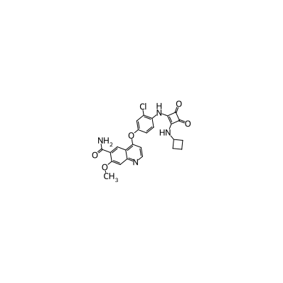 COc1cc2nccc(Oc3ccc(Nc4c(NC5CCC5)c(=O)c4=O)c(Cl)c3)c2cc1C(N)=O